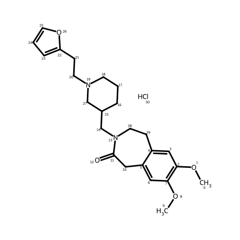 COc1cc2c(cc1OC)CC(=O)N(CC1CCCN(CCc3ccco3)C1)CC2.Cl